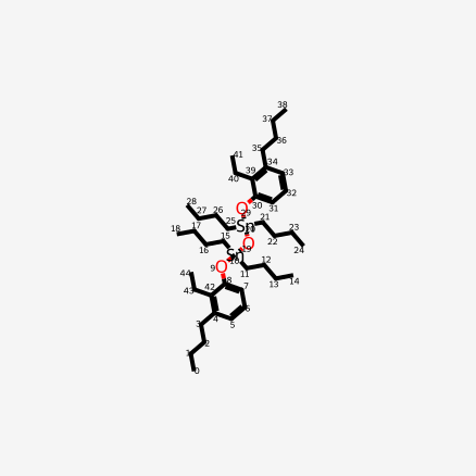 CCCCc1cccc([O][Sn]([CH2]CCC)([CH2]CCC)[O][Sn]([CH2]CCC)([CH2]CCC)[O]c2cccc(CCCC)c2CC)c1CC